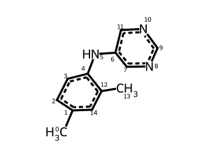 Cc1ccc(Nc2cncnc2)c(C)c1